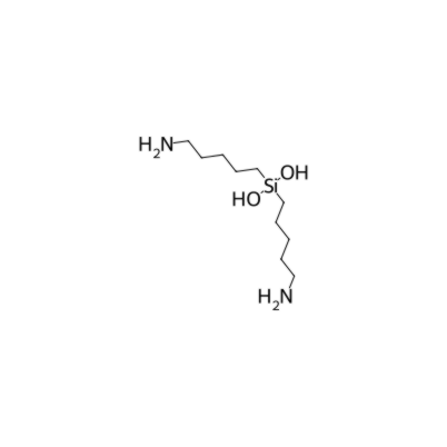 NCCCCC[Si](O)(O)CCCCCN